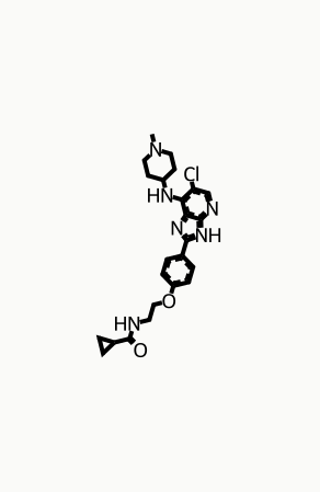 CN1CCC(Nc2c(Cl)cnc3[nH]c(-c4ccc(OCCNC(=O)C5CC5)cc4)nc23)CC1